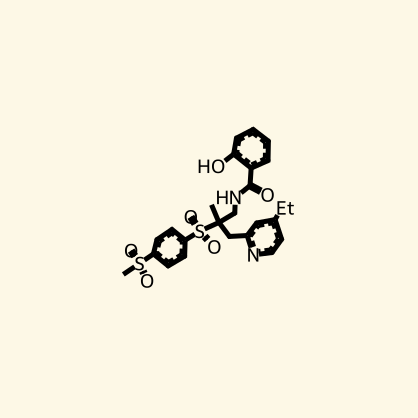 CCc1ccnc(CC(C)(CNC(=O)c2ccccc2O)S(=O)(=O)c2ccc(S(C)(=O)=O)cc2)c1